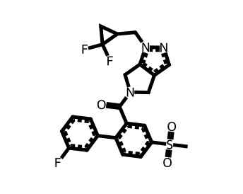 CS(=O)(=O)c1ccc(-c2cccc(F)c2)c(C(=O)N2Cc3cnn(CC4CC4(F)F)c3C2)c1